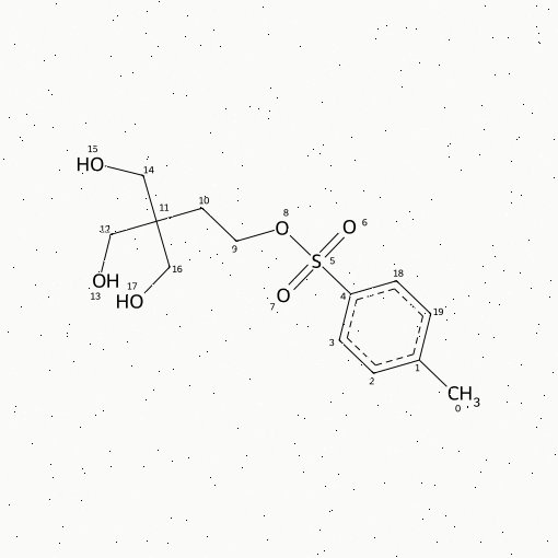 Cc1ccc(S(=O)(=O)OCCC(CO)(CO)CO)cc1